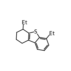 CCc1cccc2c3c(sc12)C(CC)CCC3